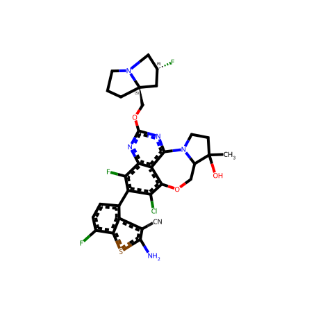 CC1(O)CCN2c3nc(OC[C@@]45CCCN4C[C@H](F)C5)nc4c(F)c(-c5ccc(F)c6sc(N)c(C#N)c56)c(Cl)c(c34)OCC21